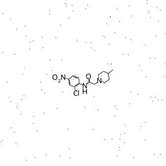 CC1CCN(CC(=O)Nc2ccc([N+](=O)[O-])cc2Cl)CC1